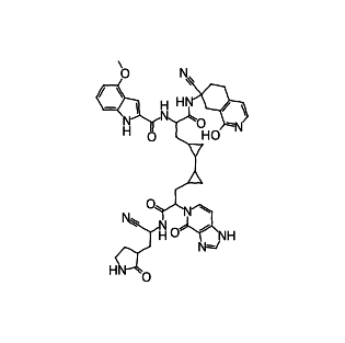 COc1cccc2[nH]c(C(=O)NC(CC3CC3C3CC3CC(C(=O)NC(C#N)CC3CCNC3=O)n3ccc4[nH]cnc4c3=O)C(=O)NC3(C#N)CCc4ccnc(O)c4C3)cc12